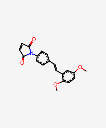 COc1ccc(OC)c(/C=C/c2ccc(N3C(=O)C=CC3=O)cc2)c1